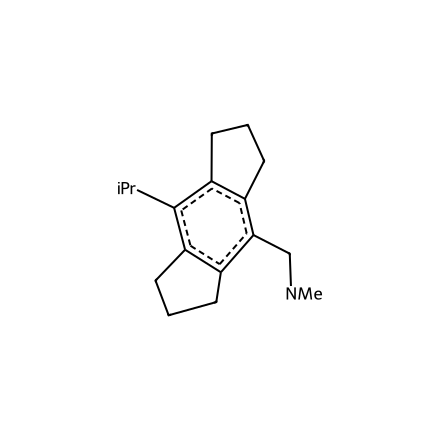 CNCc1c2c(c(C(C)C)c3c1CCC3)CCC2